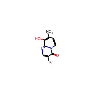 CC(C)c1cnc2c(O)c([N+](=O)[O-])ccn2c1=O